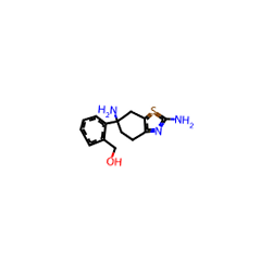 Nc1nc2c(s1)CC(N)(c1ccccc1CO)CC2